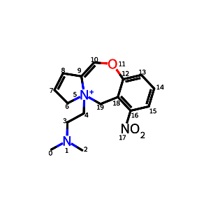 CN(C)CC[N+]12CC=CC1=COc1cccc([N+](=O)[O-])c1C2